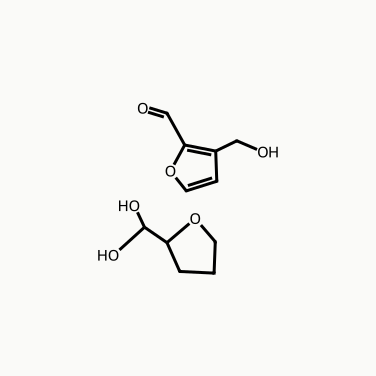 O=Cc1occc1CO.OC(O)C1CCCO1